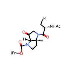 CC(=O)N[C@@H](CC(C)C)C(=O)N1CC(=O)[C@@H]2[C@H]1CCN2C(=O)OC(C)C